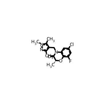 Cc1nn(C)c(C)c1CN1C(=O)[C@@H](C)Oc2c(F)cc(Cl)cc21